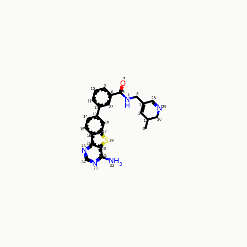 CC1C=C(CNC(=O)c2cccc(-c3ccc4c(c3)sc3c(N)ncnc34)c2)C=NC1